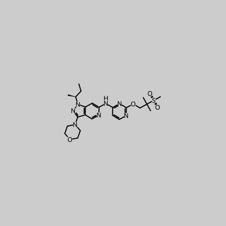 CC[C@H](C)n1nc(N2CCOCC2)c2cnc(Nc3ccnc(OCC(C)(C)S(C)(=O)=O)n3)cc21